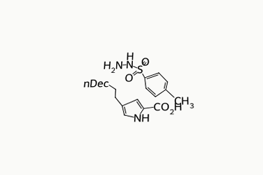 CCCCCCCCCCCCc1c[nH]c(C(=O)O)c1.Cc1ccc(S(=O)(=O)NN)cc1